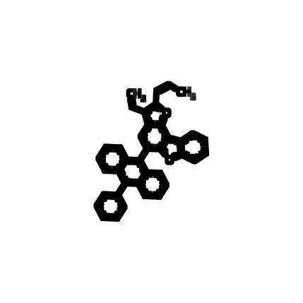 C=Cc1c(/C=C\C)oc2c1cc(-c1c3ccccc3c(-c3ccccc3)c3ccccc13)c1oc3ccccc3c12